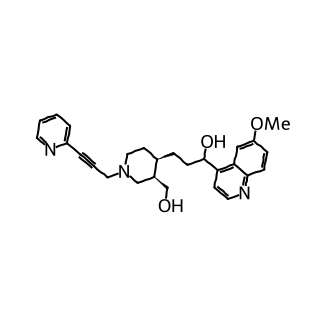 COc1ccc2nccc(C(O)CC[C@@H]3CCN(CC#Cc4ccccn4)C[C@@H]3CO)c2c1